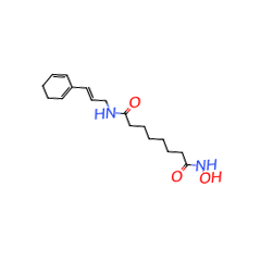 O=C(CCCCCCC(=O)NC/C=C/C1=CCCC=C1)NO